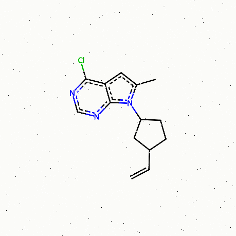 C=CC1CCC(n2c(C)cc3c(Cl)ncnc32)C1